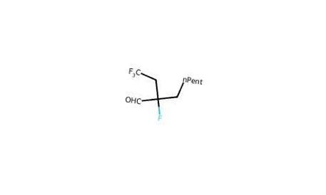 CCCCCCC(F)(C=O)CC(F)(F)F